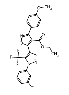 CCOC(=O)c1c(-c2ccc(OC)cc2)noc1-c1cnn(-c2cccc(F)c2)c1C(F)(F)F